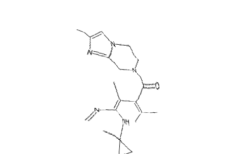 C=N/C(NC1(C)CC1)=C(\C)C(C(=O)N1CCn2cc(C)nc2C1)=C(C)C